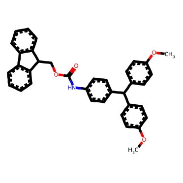 COc1ccc([C](c2ccc(NC(=O)OCC3c4ccccc4-c4ccccc43)cc2)c2ccc(OC)cc2)cc1